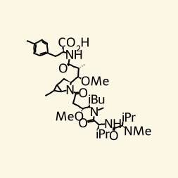 CC[C@H](C)[C@@H]([C@@H](CC(=O)N1C2C(C)C2C[C@H]1[C@H](OC)[C@@H](C)C(=O)N[C@@H](Cc1ccc(C)cc1)C(=O)O)OC)N(C)C(=O)[C@@H](NC(=O)[C@@H](NC)C(C)C)C(C)C